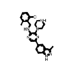 Cc1cccc(Cl)c1CNc1ncc(-c2ccc3[nH]nc(C)c3c2)nc1N1CCNCC1